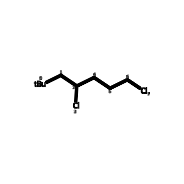 CC(C)(C)CC(Cl)CCCCl